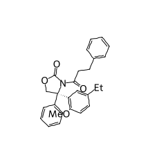 CCc1ccc(OC)c([C@]2(c3ccccc3)COC(=O)N2C(=O)CCc2ccccc2)c1